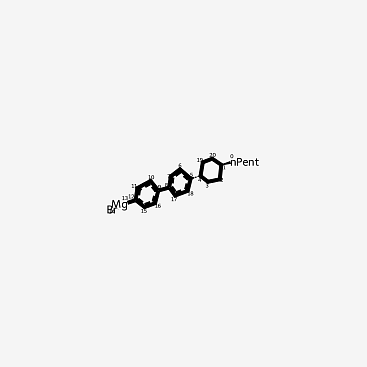 CCCCC[C@H]1CC[C@H](c2ccc(-c3cc[c]([Mg][Br])cc3)cc2)CC1